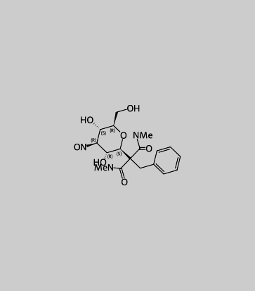 CNC(=O)C(Cc1ccccc1)(C(=O)NC)[C@@H]1O[C@H](CO)[C@@H](O)[C@H](N=O)[C@H]1O